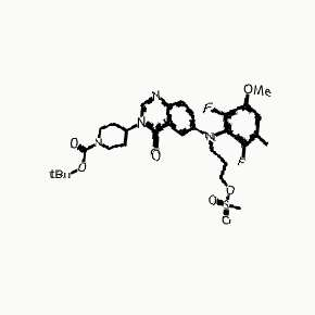 COc1cc(C)c(F)c(N(CCCOS(C)(=O)=O)c2ccc3ncn(C4CCN(C(=O)OC(C)(C)C)CC4)c(=O)c3c2)c1F